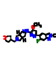 COc1cc(-c2cc3cn(C)nc3cc2F)nnc1N[C@@H]1C[C@@H]2CN(CC3CCOCC3)C[C@@H]2C1